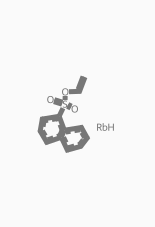 C=COS(=O)(=O)c1cccc2ccccc12.[RbH]